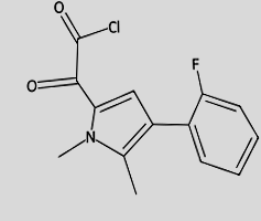 Cc1c(-c2ccccc2F)cc(C(=O)C(=O)Cl)n1C